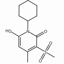 Cc1cc(O)n(C2CCCCC2)c(=O)c1S(C)(=O)=O